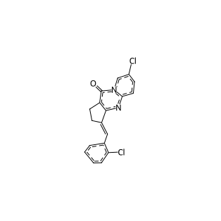 O=c1c2c(nc3ccc(Cl)cn13)C(=Cc1ccccc1Cl)CC2